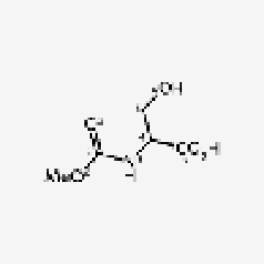 COC(=O)N[C@@H](CO)C(=O)O